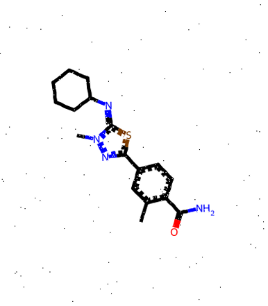 Cc1cc(-c2nn(C)/c(=N\C3CCCCC3)s2)ccc1C(N)=O